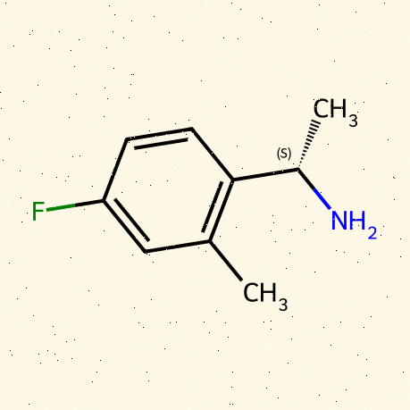 Cc1cc(F)ccc1[C@H](C)N